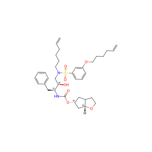 C=CCCCCOc1cccc(S(=O)(=O)N(CCCCC=C)C[C@@H](O)[C@H](Cc2ccccc2)NC(=O)O[C@@H]2CC3CCO[C@@H]3C2)c1